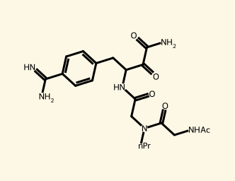 CCCN(CC(=O)NC(Cc1ccc(C(=N)N)cc1)C(=O)C(N)=O)C(=O)CNC(C)=O